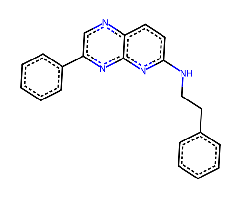 c1ccc(CCNc2ccc3ncc(-c4ccccc4)nc3n2)cc1